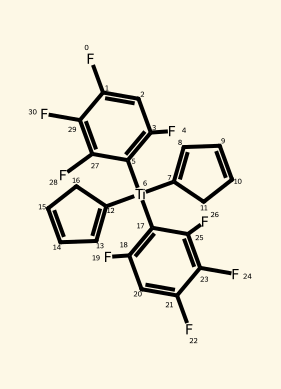 Fc1cc(F)[c]([Ti]([C]2=CC=CC2)([C]2=CC=CC2)[c]2c(F)cc(F)c(F)c2F)c(F)c1F